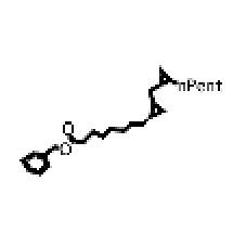 CCCCCC1CC1CC1C[C@H]1CCCCCCCC(=O)OCc1ccccc1